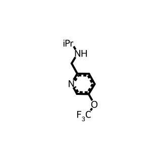 CC(C)NCc1ccc(OC(F)(F)F)cn1